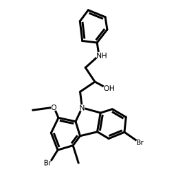 COc1cc(Br)c(C)c2c3cc(Br)ccc3n(CC(O)CNc3ccccc3)c12